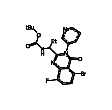 CCC(NC(=O)OC(C)(C)C)c1nc2c(F)ccc(Br)c2c(=O)n1-c1cccnc1